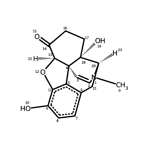 CN1C=C[C@]23c4c5ccc(O)c4O[C@H]2C(=O)CC[C@@]3(O)[C@H]1C5